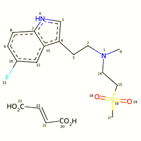 CN(CCc1c[nH]c2ccc(F)cc12)CCS(C)(=O)=O.O=C(O)/C=C/C(=O)O